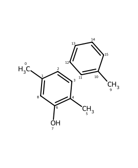 Cc1ccc(C)c(O)c1.Cc1ccccc1